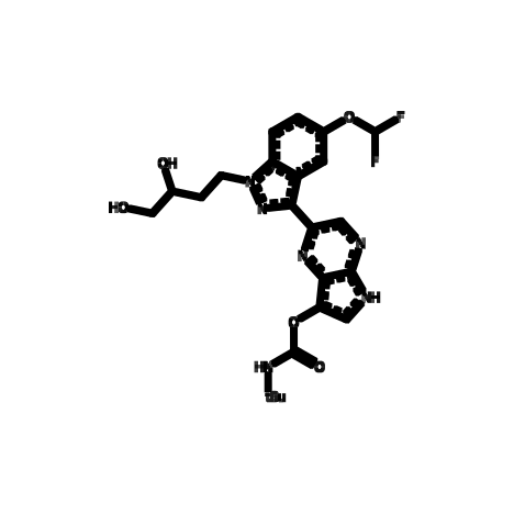 CC(C)(C)NC(=O)Oc1c[nH]c2ncc(-c3nn(CCC(O)CO)c4ccc(OC(F)F)cc34)nc12